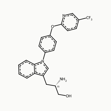 N[C@H](CO)Cc1cn(-c2ccc(Oc3ccc(C(F)(F)F)cn3)cc2)c2ccccc12